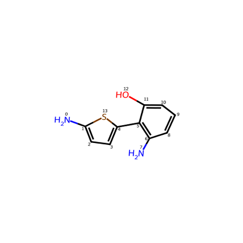 Nc1ccc(-c2c(N)cccc2O)s1